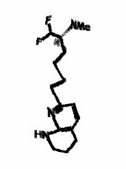 CN[C@H](CCCCc1ccc2c(n1)NCCC2)C(F)F